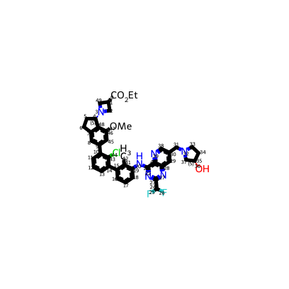 CCOC(=O)C1CN([C@H]2CCc3cc(-c4cccc(-c5cccc(Nc6nc(C(F)F)nc7cc(CN8CC[C@H](O)C8)cnc67)c5C)c4Cl)cc(OC)c32)C1